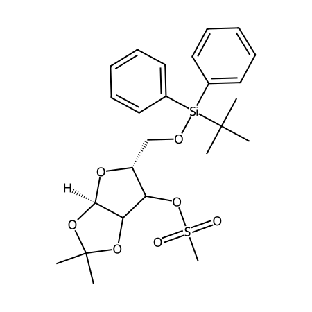 CC1(C)OC2C(OS(C)(=O)=O)[C@@H](CO[Si](c3ccccc3)(c3ccccc3)C(C)(C)C)O[C@@H]2O1